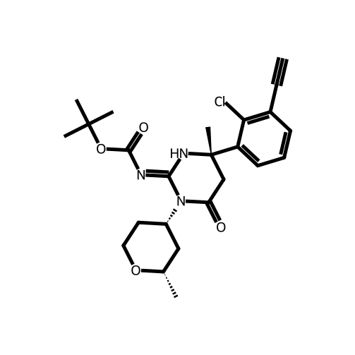 C#Cc1cccc([C@]2(C)CC(=O)N([C@H]3CCO[C@@H](C)C3)/C(=N/C(=O)OC(C)(C)C)N2)c1Cl